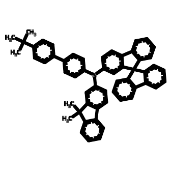 CC(C)(C)c1ccc(-c2ccc(N(c3ccc4c(c3)C(C)(C)c3ccccc3-4)c3ccc4c(c3)C3(c5ccccc5-c5ccccc53)c3ccccc3-4)cc2)cc1